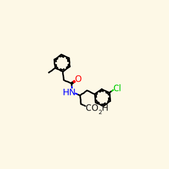 Cc1ccccc1CC(=O)NC(CC(=O)O)Cc1cccc(Cl)c1